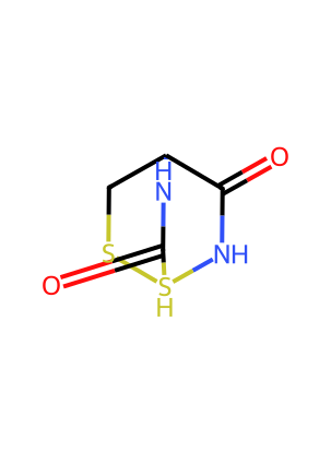 O=C1N[SH]2SCC1NC2=O